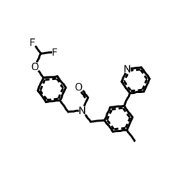 Cc1cc(CN(C=O)Cc2ccc(OC(F)F)cc2)cc(-c2cccnc2)c1